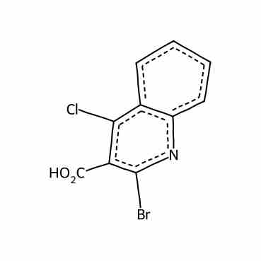 O=C(O)c1c(Br)nc2ccccc2c1Cl